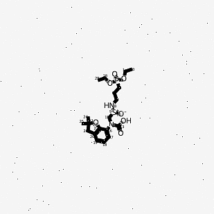 CCOP(=O)(CCCN[S+]([O-])CN(C(=O)O)c1cccc2c1OC(C)(C)C2)OCC